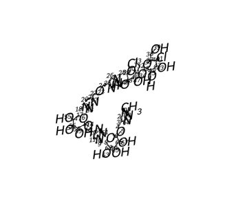 Cn1cc(CO[C@@H]2O[C@@H](Cn3cc(CO[C@@H]4O[C@@H](Cn5cc(COCc6cn(C[C@@H]7O[C@](CCl)(O[C@@H]8O[C@@H](CO)[C@H](Cl)[C@@H](O)[C@@H]8O)[C@H](O)[C@H]7O)nn6)nn5)[C@H](O)[C@H](O)[C@@H]4O)nn3)[C@H](O)[C@H](O)[C@@H]2O)nn1